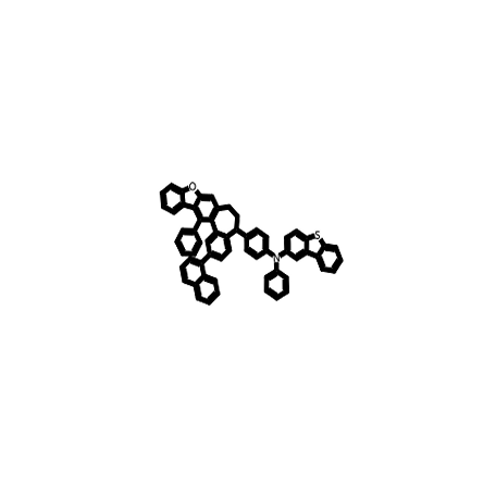 c1ccc(-c2c3c(cc4oc5ccccc5c24)CCC(c2ccc(N(c4ccccc4)c4ccc5sc6ccccc6c5c4)cc2)c2ccc(-c4cccc5ccccc45)cc2-3)cc1